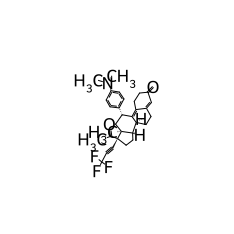 CC(=O)[C@@]1(C#CC(F)(F)F)CC[C@H]2[C@@H]3CCC4=CC(=O)CCC4=C3[C@@H](c3ccc(N(C)C)cc3)C[C@@]21C